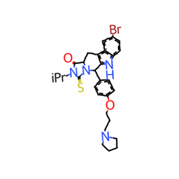 CC(C)N1C(=O)C2Cc3c([nH]c4ccc(Br)cc34)C(c3ccc(OCCCN4CCCC4)cc3)N2C1=S